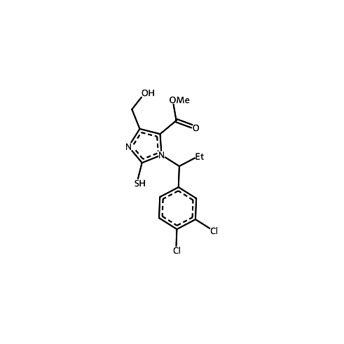 CCC(c1ccc(Cl)c(Cl)c1)n1c(S)nc(CO)c1C(=O)OC